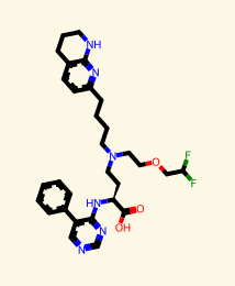 O=C(O)[C@H](CCN(CCCCc1ccc2c(n1)NCCC2)CCOCC(F)F)Nc1ncncc1-c1ccccc1